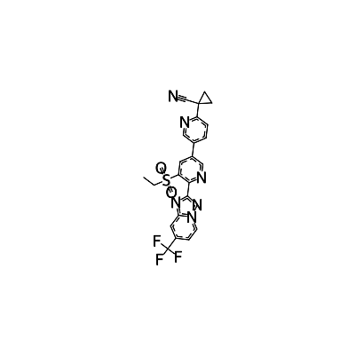 CCS(=O)(=O)c1cc(-c2ccc(C3(C#N)CC3)nc2)cnc1-c1nc2cc(C(F)(F)F)ccn2n1